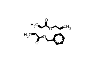 C=CC(=O)OCc1ccccc1.C=CCOC(=O)C=C